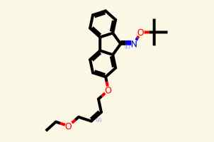 CCOC/C=C\COc1ccc2c(c1)/C(=N/OC(C)(C)C)c1ccccc1-2